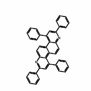 c1ccc(-c2cc(-c3ccccc3)c3c(ccc4c3ccc3nc(-c5ccccc5)cc(-c5ccccc5)c34)n2)cc1